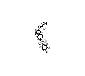 O=C(O)OC1=NOC2(CCN(S(=O)(=O)c3ccc(F)cc3)CC2)C1